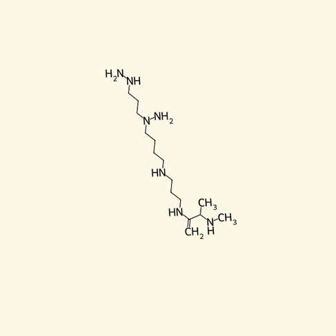 C=C(NCCCNCCCCN(N)CCCNN)C(C)NC